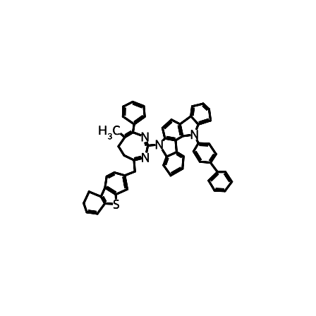 C/C1=C(c2ccccc2)/N=C(n2c3ccccc3c3c2ccc2c4ccccc4n(-c4ccc(-c5ccccc5)cc4)c23)\N=C(\Cc2ccc3c4c(sc3c2)C=CCC4)CC1